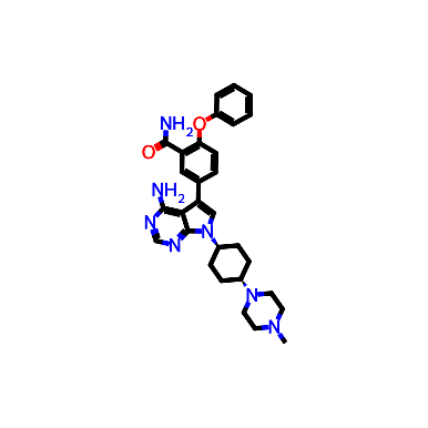 CN1CCN([C@H]2CC[C@H](n3cc(-c4ccc(Oc5ccccc5)c(C(N)=O)c4)c4c(N)ncnc43)CC2)CC1